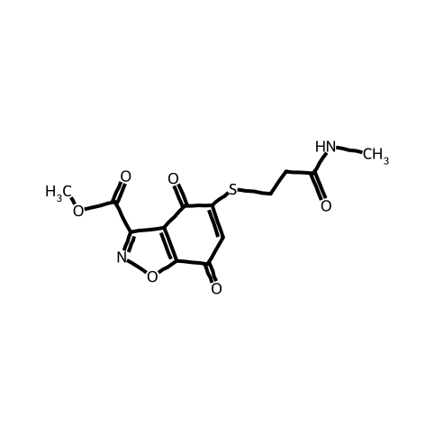 CNC(=O)CCSC1=CC(=O)c2onc(C(=O)OC)c2C1=O